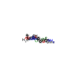 COc1cc(OC2CCc3c(-c4cccc(NC(=O)c5nc6c(n5C)CCN(CC(C)OC(=O)C5CCC5)C6)c4Cl)cccc32)c(Cl)c(F)c1CN